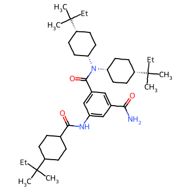 CCC(C)(C)C1CCC(C(=O)Nc2cc(C(N)=O)cc(C(=O)N([C@H]3CC[C@@H](C(C)(C)CC)CC3)[C@H]3CC[C@@H](C(C)(C)CC)CC3)c2)CC1